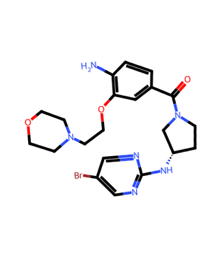 Nc1ccc(C(=O)N2CC[C@H](Nc3ncc(Br)cn3)C2)cc1OCCN1CCOCC1